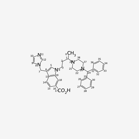 CC(CCn1cc(Cn2ccnc2)c2ccc(C(=O)O)cc21)N1CCN(C(c2ccccc2)c2ccccc2)CC1